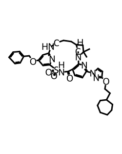 CC1(C)C[C@@H]2CCCNc3cc(OCc4ccccc4)cc(n3)S(=O)(=O)NC(=O)c3ccc(-n4ccc(OCCC5CCCCCC5)n4)nc3N1C2